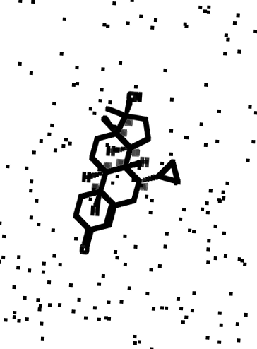 C[C@]1(C#N)CC[C@H]2[C@H]3[C@H](CC[C@@]21C)[C@H]1CCC(=O)C=C1C[C@H]3C1CC1